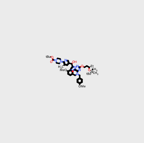 CC[C@@H](CCOc1nc(N(Cc2ccc(OC)cc2)Cc2ccc(OC)cc2)c2ncc(C(O)c3cnc(N4CCN(C(=O)OC(C)(C)C)CC4)c(C)c3)n2n1)O[Si](C)(C)C(C)(C)C